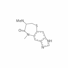 CNC1CSc2cc3[nH]cnc3cc2N(C)C1=O